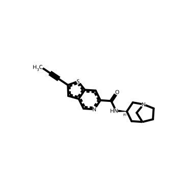 CC#Cc1cc2cnc(C(=O)N[C@@H]3CC4CCN(C4)C3)cc2s1